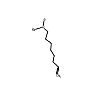 C=CCCCCC[CH2][Al]([CH2]C)[CH2]C